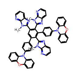 Cn1c(-c2cc(-c3ccc(N4c5ccccc5Oc5ccccc54)cc3)c(-c3nc4cccnc4n3C)c(-c3ccc(N4c5ccccc5Oc5ccccc54)cc3)c2-c2nc3cccnc3n2C)nc2cccnc21